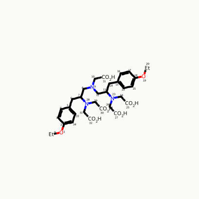 CCOc1ccc(CC(CN(CC(=O)O)CC(Cc2ccc(OCC)cc2)N(CC(=O)O)CC(=O)O)N(CC(=O)O)CC(=O)O)cc1